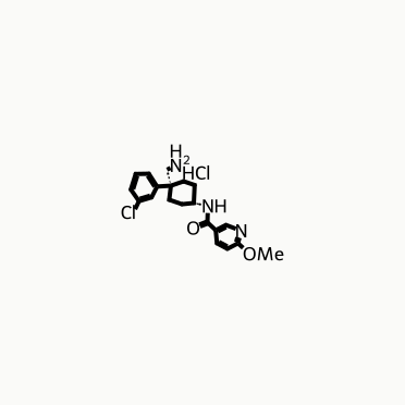 COc1ccc(C(=O)N[C@H]2CC[C@](CN)(c3cccc(Cl)c3)CC2)cn1.Cl